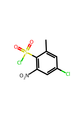 Cc1cc(Cl)cc([N+](=O)[O-])c1S(=O)(=O)Cl